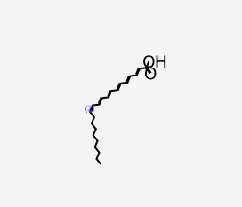 CCCCCCCCC/C=C\C=CC=CC=CC=CC=CC(=O)O